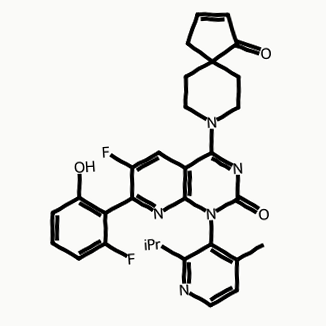 Cc1ccnc(C(C)C)c1-n1c(=O)nc(N2CCC3(CC=CC3=O)CC2)c2cc(F)c(-c3c(O)cccc3F)nc21